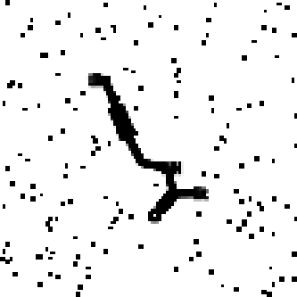 CCC(=O)NCC#CC(C)(C)C